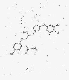 CC(=O)c1ccc(OCC(O)CN2CCC(Oc3ccc(Cl)c(Cl)c3)C2)c(CC(N)=O)c1